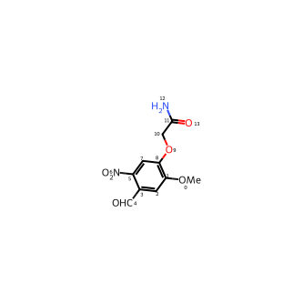 COc1cc(C=O)c([N+](=O)[O-])cc1OCC(N)=O